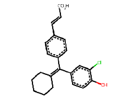 O=C(O)C=Cc1ccc(C(=C2CCCCC2)c2ccc(O)c(Cl)c2)cc1